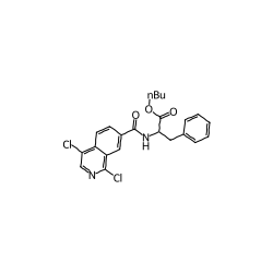 CCCCOC(=O)C(Cc1ccccc1)NC(=O)c1ccc2c(Cl)cnc(Cl)c2c1